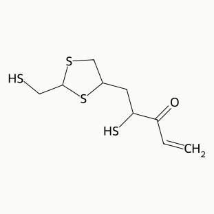 C=CC(=O)C(S)CC1CSC(CS)S1